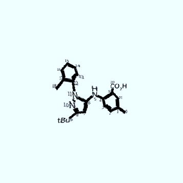 Cc1ccc(Nc2cc(C(C)(C)C)nn2-c2ccccc2C)c(C(=O)O)c1